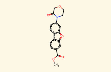 COC(=O)c1ccc2c(c1)oc1cc(N3CCOCC3=O)ccc12